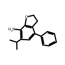 CC(C)c1cc(-c2ccccc2)c2c(c1N)OCC2